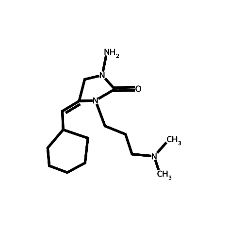 CN(C)CCCN1C(=O)N(N)CC1=CC1CCCCC1